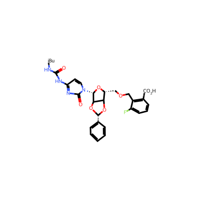 CCC(C)NC(=O)Nc1ccn([C@@H]2O[C@H](COCc3c(F)cccc3C(=O)O)C3O[C@H](c4ccccc4)OC32)c(=O)n1